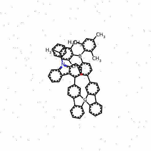 Cc1cc(C)c(B(c2ccc(-c3ccc4c(c3)[Si]3(c5ccccc5-4)c4ccccc4-c4ccc(-c5cccc6c5c5ccccc5n6-c5ccccc5)cc43)cc2)c2c(C)cc(C)cc2C)c(C)c1